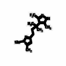 Cc1[nH]nc(C(F)(F)F)c1C(C)(C)CCc1cc(C)n(C(C)(C)C)n1